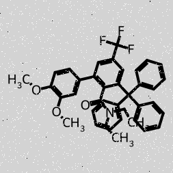 CCN(CC)C(=O)c1c(-c2ccc(OC)c(OC)c2)cc(C(F)(F)F)cc1C(c1ccccc1)(c1ccccc1)c1ccccc1